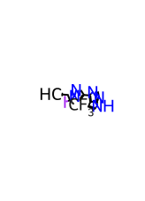 C#CCC(I)(n1cc(-c2ncnc3[nH]ccc23)cn1)C(F)(F)F